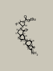 CC(C)(C)OC(=O)N1C[C@@H](F)[C@@H](N2CCc3ncc(-c4ccn5nc(N)nc5c4)cc3C2=O)C1